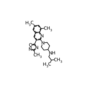 Cc1cc(C)c2nc(N3CCC(NCC(C)C)CC3)c(-c3nc(C)no3)cc2c1